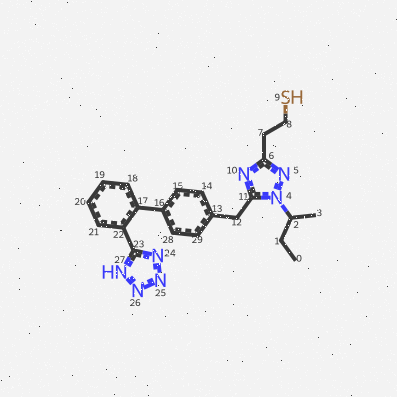 CCC(C)n1nc(CCS)nc1Cc1ccc(-c2ccccc2-c2nnn[nH]2)cc1